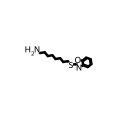 NCCCCCCCCSc1nc2ccccc2o1